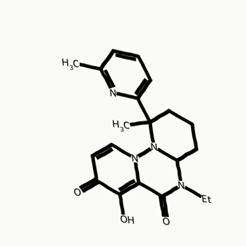 CCN1C(=O)c2c(O)c(=O)ccn2N2C1CCCC2(C)c1cccc(C)n1